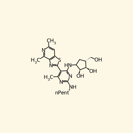 CCCCCNc1nc(C)c(-c2nc3c(C)nc(C)cc3s2)c(NC2C[C@H](CO)[C@@H](O)[C@H]2O)n1